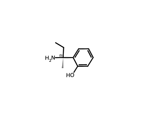 CC[C@](C)(N)c1ccccc1O